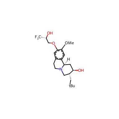 COc1cc2c(cc1OC[C@@H](O)C(F)(F)F)CCN1C[C@@H](CC(C)(C)C)[C@H](O)C[C@H]21